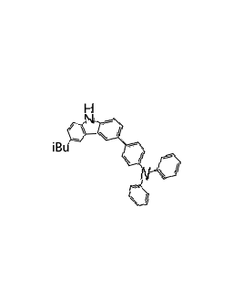 CCC(C)c1ccc2[nH]c3ccc(-c4ccc(N(c5ccccc5)c5ccccc5)cc4)cc3c2c1